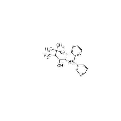 C=C(C(O)CO[SiH](c1ccccc1)c1ccccc1)C(C)(C)C